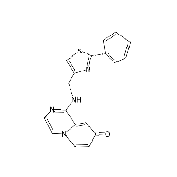 O=c1ccn2ccnc(NCc3csc(-c4ccccc4)n3)c2c1